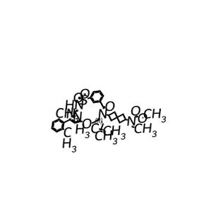 CCN(C(=O)OC)C1CC2(C1)CC(N1C(=O)c3cccc(c3)S(=O)(=O)Nc3nc(cc(-c4c(C)cccc4C)n3)OC[C@H]1CC(C)(C)C)C2